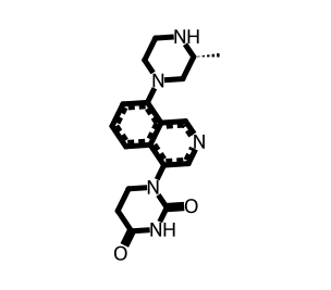 C[C@@H]1CN(c2cccc3c(N4CCC(=O)NC4=O)cncc23)CCN1